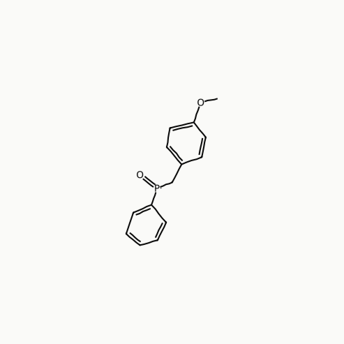 COc1ccc(C[P](=O)c2ccccc2)cc1